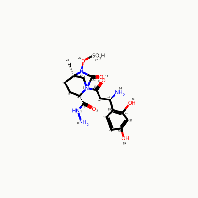 NNC(=O)[C@@H]1CC[C@@H]2C[N+]1(C(=O)C[C@@H](N)c1ccc(O)cc1O)C(=O)N2OS(=O)(=O)O